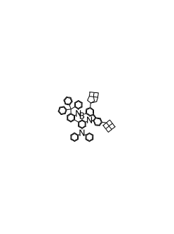 c1ccc(N(c2ccccc2)c2cc3c4c(c2)-n2c5ccc(C67CC8CC9CC(C6)C987)cc5c5cc(C67CC8CC9CC(C6)C98C7)cc(c52)B4N2c4ccccc4C(c4ccccc4)(c4ccccc4)c4cccc-3c42)cc1